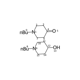 CCCCN1CCC(=O)CC1.CCCCN1CCC(O)CC1